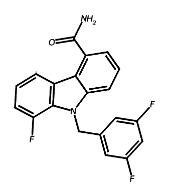 NC(=O)c1cccc2c1c1[c]ccc(F)c1n2Cc1cc(F)cc(F)c1